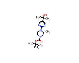 C[C@@H]1CN(C(=O)OC(C)(C)C)CCN1c1ncc(C(C)(C)O)cn1